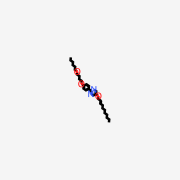 CCCCCCCCC=CCOc1cnc(-c2ccc(OCCCCOCCCCCC)cc2)nc1